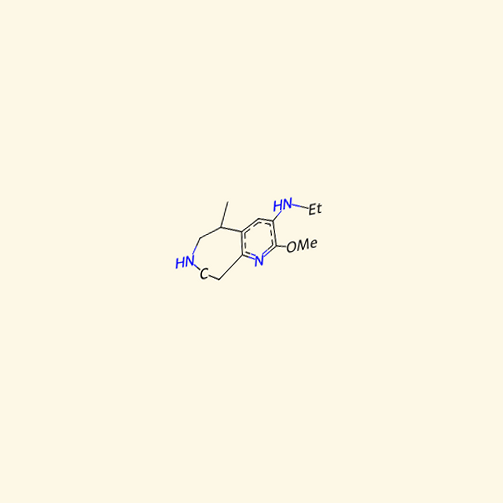 CCNc1cc2c(nc1OC)CCNCC2C